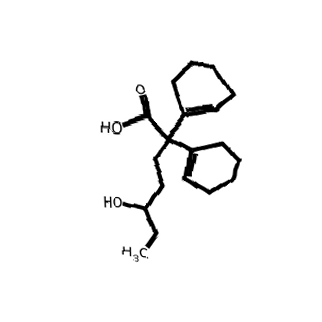 CCC(O)CCC(C(=O)O)(C1=CCCCC1)C1=CCCCC1